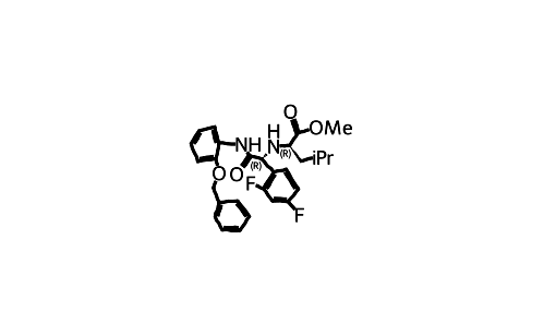 COC(=O)[C@@H](CC(C)C)N[C@@H](C(=O)Nc1ccccc1OCc1ccccc1)c1ccc(F)cc1F